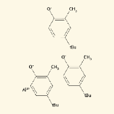 Cc1cc(C(C)(C)C)ccc1[O-].Cc1cc(C(C)(C)C)ccc1[O-].Cc1cc(C(C)(C)C)ccc1[O-].[Al+3]